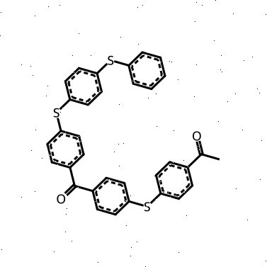 CC(=O)c1ccc(Sc2ccc(C(=O)c3ccc(Sc4ccc(Sc5ccccc5)cc4)cc3)cc2)cc1